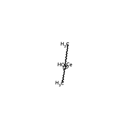 CCCCCCCCCCCCCCCCC(O)C(=O)OCCCCCCCCCCCC.[Ce]